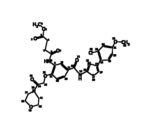 COC(=O)CCC(=O)Nc1cc(C(=O)Nc2nc(-c3ccc(OC)cc3Cl)cs2)ccc1OCC(=O)N1CCOCC1